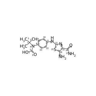 CC(C)(C)N(C(=O)O)c1ccc(Nc2nc(C(N)=O)c(N)s2)cc1